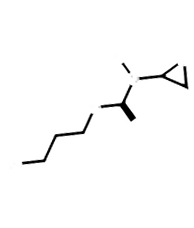 CCCCOC(=O)N(C)C1CO1